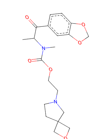 CC(C(=O)c1ccc2c(c1)OCO2)N(C)C(=O)OCCN1CCC2(COC2)C1